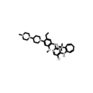 CCc1cc(Nc2ncc(Cl)c(NC3=C(P(C)(C)=O)C=CCC=C3)n2)c(OC)cc1N1CCC(N2CCN(C)CC2)CC1